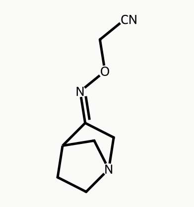 N#CCON=C1CN2CCC1C2